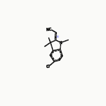 CN1/C(=C/C#N)C(C)(C)c2cc(Cl)ccc21